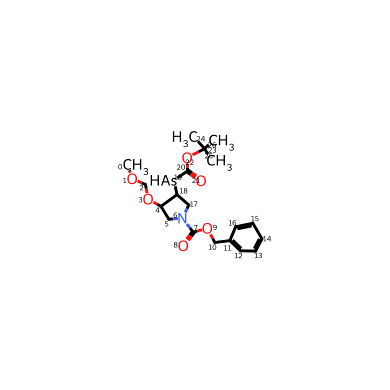 COCOC1CN(C(=O)OCc2ccccc2)CC1[AsH]C(=O)OC(C)(C)C